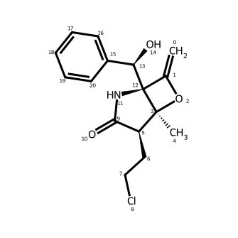 C=C1O[C@@]2(C)[C@@H](CCCl)C(=O)N[C@@]12[C@H](O)c1ccccc1